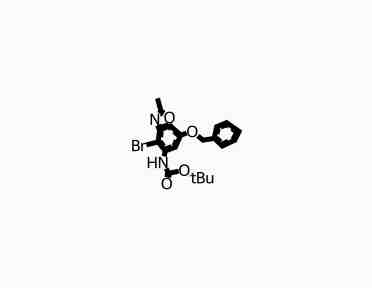 Cc1nc2c(Br)c(NC(=O)OC(C)(C)C)cc(OCc3ccccc3)c2o1